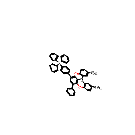 CC(C)(C)c1ccc2c(c1)B1c3cc(C(C)(C)C)ccc3Oc3c(-c4ccc([Si](c5ccccc5)(c5ccccc5)c5ccccc5)cc4)cc(-c4ccccc4)c(c31)O2